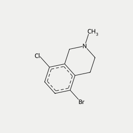 CN1CCc2c(Br)ccc(Cl)c2C1